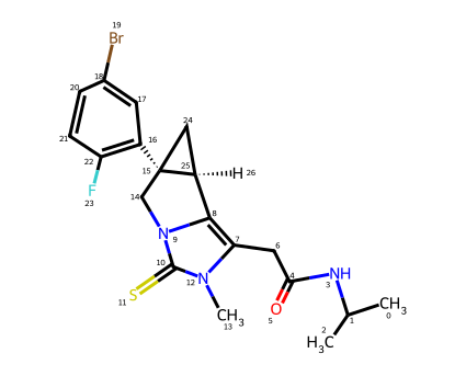 CC(C)NC(=O)Cc1c2n(c(=S)n1C)C[C@@]1(c3cc(Br)ccc3F)C[C@@H]21